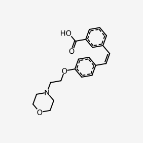 O=C(O)c1cccc(/C=C\c2ccc(OCCN3CCOCC3)cc2)c1